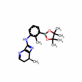 Cc1c(NC2=NC3=C2N=CC[C@@H]3C)cccc1B1OC(C)(C)C(C)(C)O1